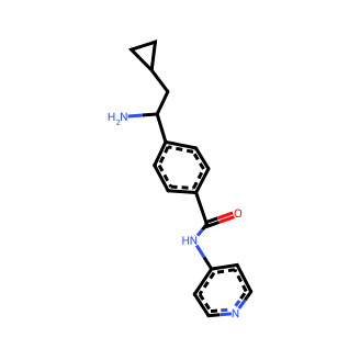 NC(CC1CC1)c1ccc(C(=O)Nc2ccncc2)cc1